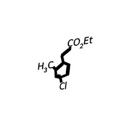 CCOC(=O)/C=C/c1ccc(Cl)cc1C